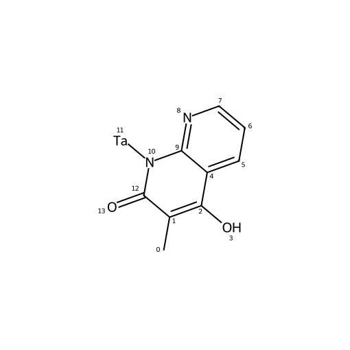 Cc1c(O)c2cccnc2[n]([Ta])c1=O